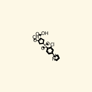 CO[C@@H]1C[C@H](S(=O)(=O)c2ccc(-n3cccn3)cc2Cl)C[C@H]1C(=O)O